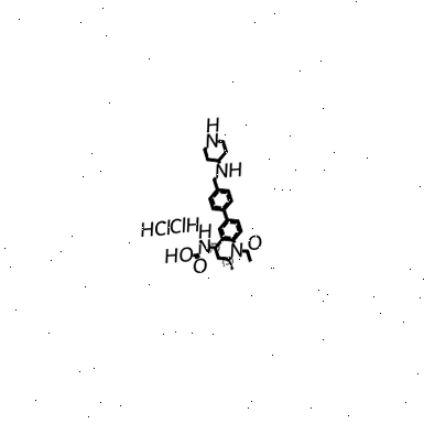 CC(=O)N1c2ccc(-c3ccc(CNC4CCNCC4)cc3)cc2[C@H](NC(=O)O)C[C@@H]1C.Cl.Cl